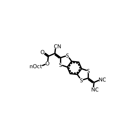 [C-]#[N+]C([N+]#[C-])=C1Sc2cc3c(cc2S1)SC(=C(C#N)C(=O)OCCCCCCCC)S3